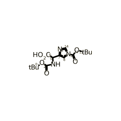 CC(C)(C)OC(=O)NC(C(=O)O)c1cn(C(=O)OC(C)(C)C)cn1